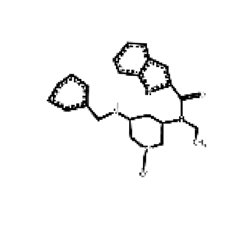 CCN(C(=O)c1cc2ccccc2[nH]1)C1CC(NCc2ccccc2)C[S+]([O-])C1